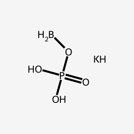 BOP(=O)(O)O.[KH]